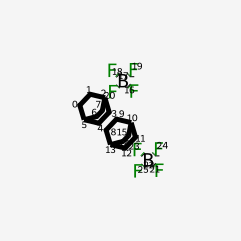 C1CC2CCC1CC2.C1CC2CCC1CC2.F[B-](F)(F)F.F[B-](F)(F)F